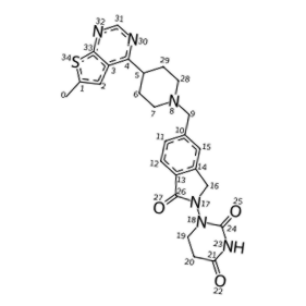 Cc1cc2c(C3CCN(Cc4ccc5c(c4)CN(N4CCC(=O)NC4=O)C5=O)CC3)ncnc2s1